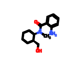 CN(C(=O)c1ccccc1N)[C@@H]1CCCC[C@@H]1CO